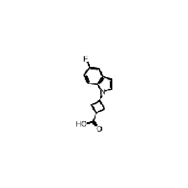 O=C(O)[C@H]1C[C@@H](n2ccc3cc(F)ccc32)C1